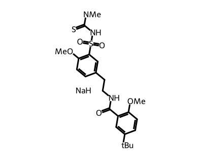 CNC(=S)NS(=O)(=O)c1cc(CCNC(=O)c2cc(C(C)(C)C)ccc2OC)ccc1OC.[NaH]